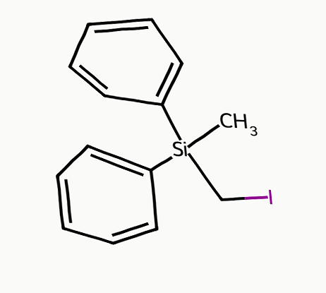 C[Si](CI)(c1ccccc1)c1ccccc1